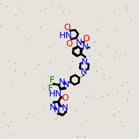 Cn1c(=O)n(C2CCC(=O)NC2=O)c2cccc(CN3CCN(C[C@H]4CC[C@H](n5cc(NC(=O)c6cnn7cccnc67)c(C(F)F)n5)CC4)CC3)c21